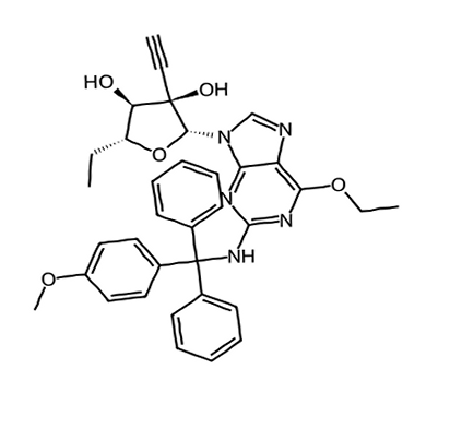 C#C[C@@]1(O)[C@H](O)[C@@H](CC)O[C@H]1n1cnc2c(OCC)nc(NC(c3ccccc3)(c3ccccc3)c3ccc(OC)cc3)nc21